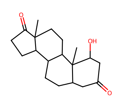 CC12CCC3C(CCC4CC(=O)CC(O)C43C)C1CCC2=O